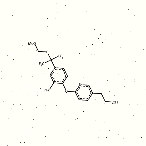 CCCc1cc(C(OCOC)(C(F)(F)F)C(F)(F)F)ccc1Oc1ccc(CCO)cn1